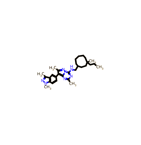 CCCC1(C)CCCCCC(CNc2nc(C)nc3c(-c4ccc5c(c4)c(C)nn5C)c(C)nn23)CC1